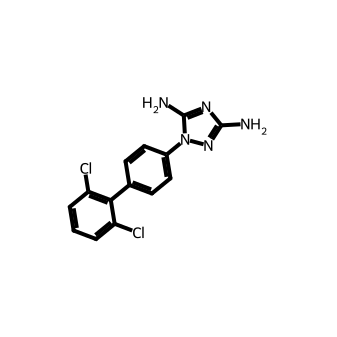 Nc1nc(N)n(-c2ccc(-c3c(Cl)cccc3Cl)cc2)n1